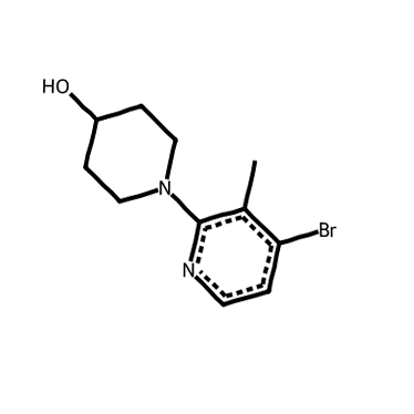 Cc1c(Br)ccnc1N1CCC(O)CC1